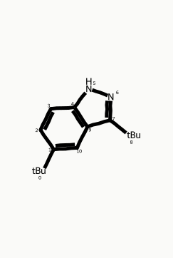 CC(C)(C)c1ccc2[nH]nc(C(C)(C)C)c2c1